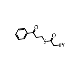 CC(C)CC(=O)SCCC(=O)c1ccccc1